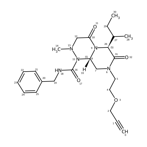 C#CCOCCN1C[C@H]2N(C(=O)CN(C)N2C(=O)NCc2ccccc2)[C@@H](C(C)CC)C1=O